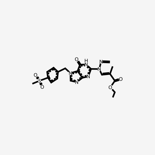 C=NN(/C=C(\C)C(=O)OCC)c1nc2ncn(Cc3ccc(S(C)(=O)=O)cc3)c2c(=O)[nH]1